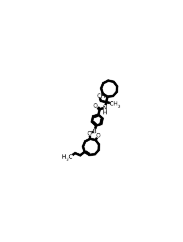 CCC/C1=C/CCCC2OB(c3ccc(C(=O)NC(C)(CC)C4CCCCCCCC4)cc3)OC2CC1